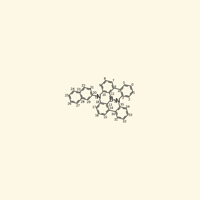 c1ccc2c(c1)-c1cccc3c1B1c4c(cccc4N3c3ccc4ccccc4c3)-c3ccccc3N12